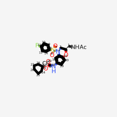 CC(=O)NC[C@H]1CN(S(=O)(=O)c2ccc(F)cc2)c2cc(NC(=O)OC3(C(F)(F)F)CCCCC3)ccc2O1